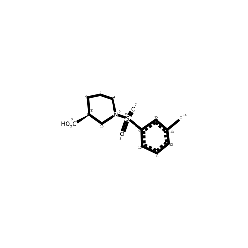 O=C(O)[C@H]1CCCN(S(=O)(=O)c2cccc(F)c2)C1